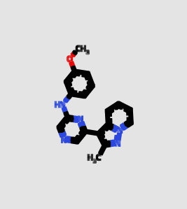 COc1cccc(Nc2cncc(-c3c(C)nn4ccccc34)n2)c1